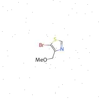 COCc1ncsc1Br